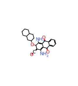 NC1=C2C(=O)c3ccccc3C(=O)C2=C(N)C(OC2CCC3CCCCC3C2)C1=C=O